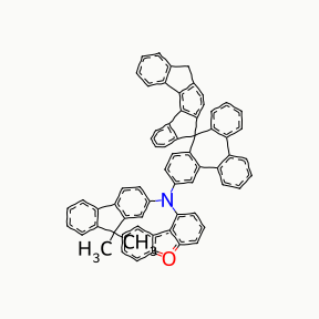 CC1(C)c2ccccc2-c2ccc(N(c3ccc4c(c3)-c3ccccc3-c3ccccc3C43c4ccccc4-c4c3ccc3c4-c4ccccc4C3)c3cccc4oc5ccccc5c34)cc21